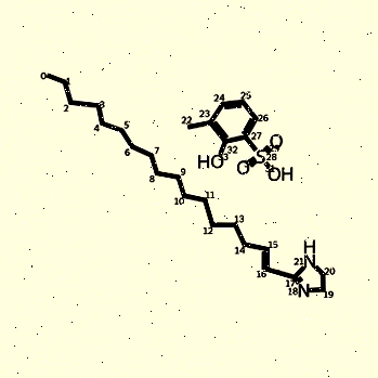 CCCCCCCCCCCCCCCC=CC1=NCCN1.Cc1cccc(S(=O)(=O)O)c1O